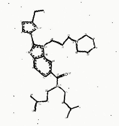 CCc1ccc(-c2nc3ccc(C(=O)N(CCC(C)C)CCC(C)C)cc3n2CCCN2CCCCC2)s1